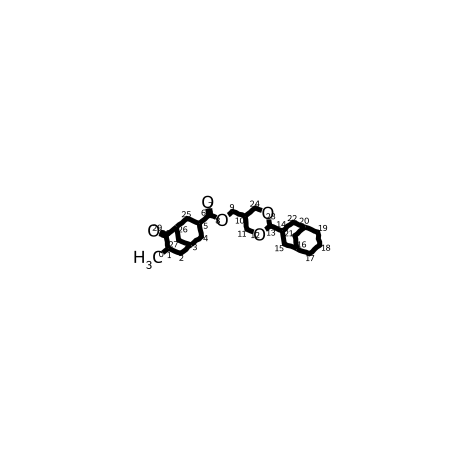 CC1CC2CC(C(=O)OCC3COC(C4CC5CCCC(C5)C4)OC3)CC(C2)C1=O